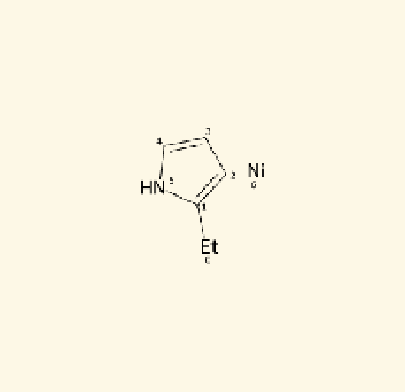 CCc1ccc[nH]1.[Ni]